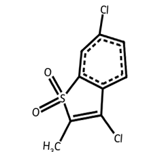 CC1=C(Cl)c2ccc(Cl)cc2S1(=O)=O